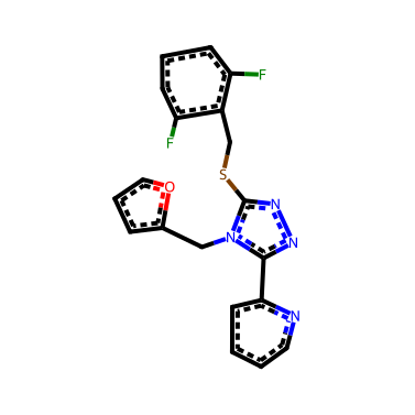 Fc1cccc(F)c1CSc1nnc(-c2ccccn2)n1Cc1ccco1